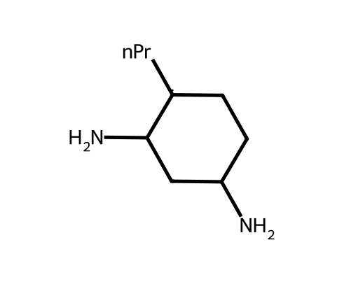 CCC[C]1CCC(N)CC1N